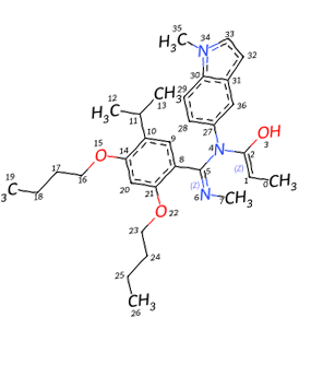 C/C=C(\O)N(/C(=N\C)c1cc(C(C)C)c(OCCCC)cc1OCCCC)c1ccc2c(ccn2C)c1